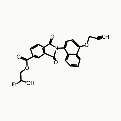 C#CCOc1ccc(N2C(=O)c3ccc(C(=O)OCC(O)CC)cc3C2=O)c2ccccc12